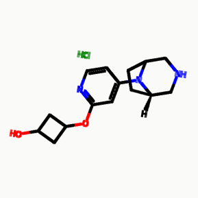 Cl.OC1CC(Oc2cc(N3C4CC[C@H]3CNC4)ccn2)C1